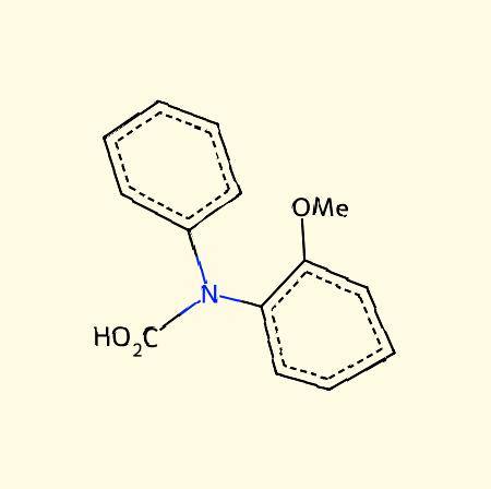 COc1ccccc1N(C(=O)O)c1ccccc1